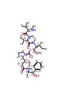 CC[C@H](C)[C@@H]([C@@H](CC(=O)N1CCC[C@H]1[C@H](OC)[C@@H](C)C(=O)N[C@H](C)[C@@H](O)c1ccccc1)OC)N(C)C(=O)[C@H](C(C)C)N(C)C(=O)[C@@H](NC)C(C)C